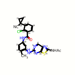 CC(=O)Nc1nc2cnc(Nc3cc(NC(=O)c4cccc(C5(C#N)CC5)c4Cl)ccc3C)nc2s1